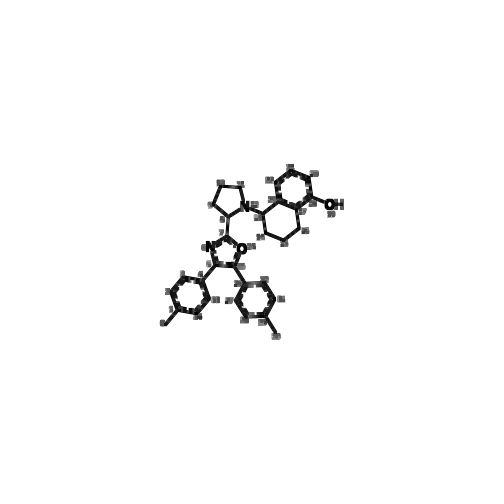 Cc1ccc(-c2nc(C3CCCN3C3CCCc4c(O)cccc43)oc2-c2ccc(C)cc2)cc1